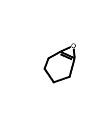 C1CCC2=C(C1)O2